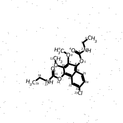 CCNC(=O)Oc1c(OC)c(OC)c(OC(=O)NCC)c2cc(Cl)ccc12